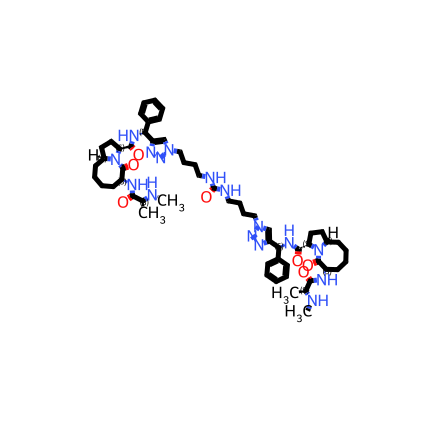 CN[C@@H](C)C(=O)N[C@H]1CCCC[C@H]2CC[C@@H](C(=O)N[C@H](c3ccccc3)c3cn(CCCCNC(=O)NCCCCn4cc([C@@H](NC(=O)[C@@H]5CC[C@@H]6CCCC[C@H](NC(=O)[C@H](C)NC)C(=O)N65)c5ccccc5)nn4)nn3)N2C1=O